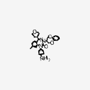 Cc1ccc2c(c1)N(c1ccc(N)cc1)C(=O)N(C1COc3ccccc3OC1)N=C2C1CCOCC1